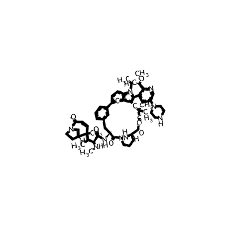 CCn1c(-c2cc(N3CCNCC3)cnc2[C@H](C)OC)c2c3cc(ccc31)-c1cccc(c1)C[C@H](NC(=O)C(NC)C(C)C1(C)C=CC(=O)N3CC[C@H]1C3)C(=O)N1CCC[C@H](N1)C(=O)OCC(C)(C)C2